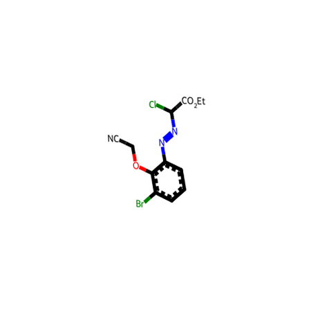 CCOC(=O)C(Cl)/N=N/c1cccc(Br)c1OCC#N